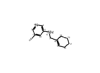 Fc1cncc(NCC2=CCCCC2)c1